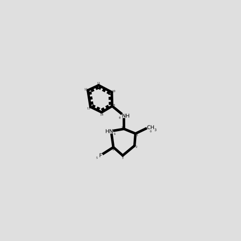 CC1CCC(F)NC1Nc1ccccc1